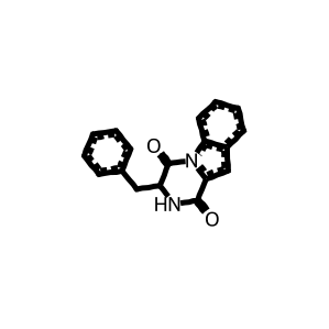 O=C1NC(Cc2ccccc2)C(=O)n2c1cc1ccccc12